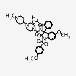 CCOc1ccccc1C1(NC(=O)N2CCN(C3CCN(C)CC3)CC2)C(=O)N(S(=O)(=O)c2ccc(OC)cc2)c2ccc(OC)cc21